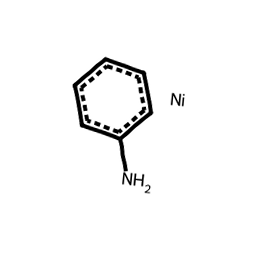 Nc1ccccc1.[Ni]